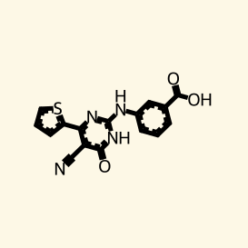 N#Cc1c(-c2cccs2)nc(Nc2cccc(C(=O)O)c2)[nH]c1=O